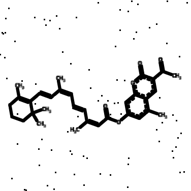 CC(=O)c1cc2c(C)cc(OC(=O)C=C(C)C=CC=C(C)C=CC3=C(C)CCCC3(C)C)cc2oc1=O